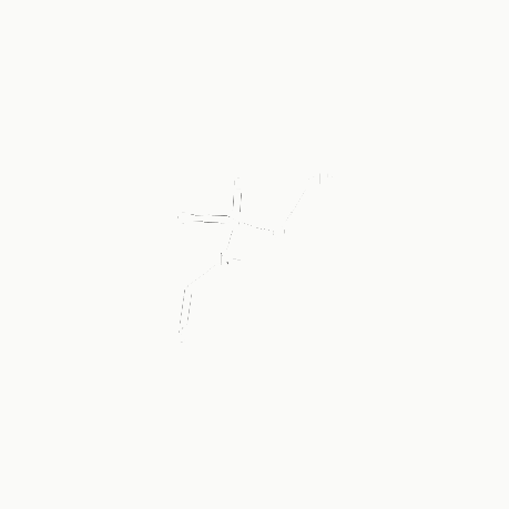 CCCOS(=O)(=O)NC=S